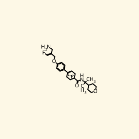 CC(C)(NC(=O)C12CCC(c3ccc(OCC(=CF)CN)cc3)(CC1)CC2)C1CCOCC1